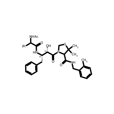 CC(=O)NC(C(=O)N[C@@H](Cc1ccccc1)[C@H](O)C(=O)N1CSC(C)(C)C1C(=O)NCc1ccccc1C)C(C)C